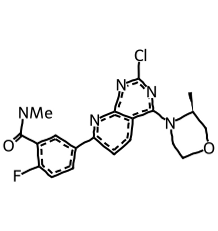 CNC(=O)c1cc(-c2ccc3c(N4CCOC[C@@H]4C)nc(Cl)nc3n2)ccc1F